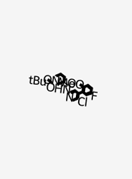 COc1ccc(F)cc1-c1cc(NC(=O)[C@@H]2CCCN(C(=O)OC(C)(C)C)C2)ncc1Cl